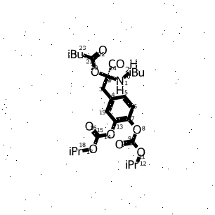 CCC(C)N[C@@](Cc1ccc(OC(=O)OC(C)C)c(OC(=O)OC(C)C)c1)(OC(=O)C(C)CC)C(=O)O